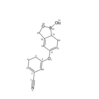 N#CC1=CCCC(OC2=CCC3B(O)OCC3=C2)=C1